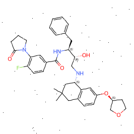 CC1(C)Cc2ccc(O[C@H]3CCOC3)cc2[C@@H](NC[C@@H](O)[C@H](Cc2ccccc2)NC(=O)c2ccc(F)c(N3CCCC3=O)c2)C1